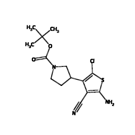 CC(C)(C)OC(=O)N1CCC(c2c(Cl)sc(N)c2C#N)C1